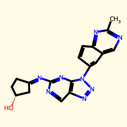 Cc1ncc2cc(-n3nnc4cnc(/N=C5/CC[C@@H](O)C5)nc43)ccc2n1